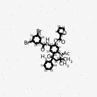 CC(=O)N1c2cc(OC(=O)c3ccco3)c(NC(=O)c3cc(Br)cc(Br)c3)cc2C(C)(c2ccccc2)CC1(C)C